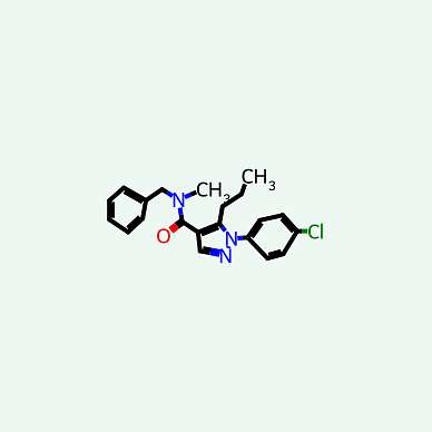 CCCc1c(C(=O)N(C)Cc2ccccc2)cnn1-c1ccc(Cl)cc1